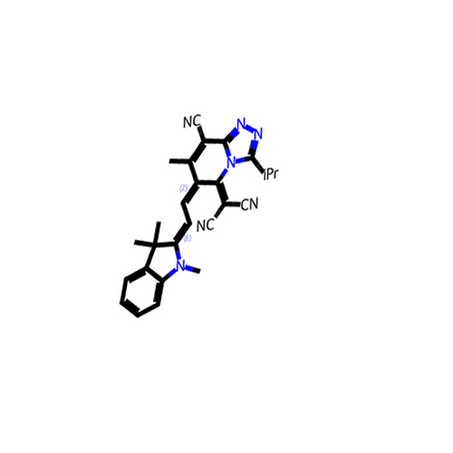 Cc1c(C#N)c2nnc(C(C)C)n2c(=C(C#N)C#N)/c1=C\C=C1\N(C)c2ccccc2C1(C)C